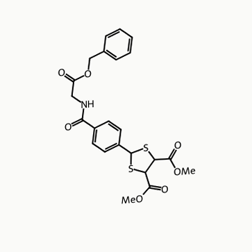 COC(=O)C1SC(c2ccc(C(=O)NCC(=O)OCc3ccccc3)cc2)SC1C(=O)OC